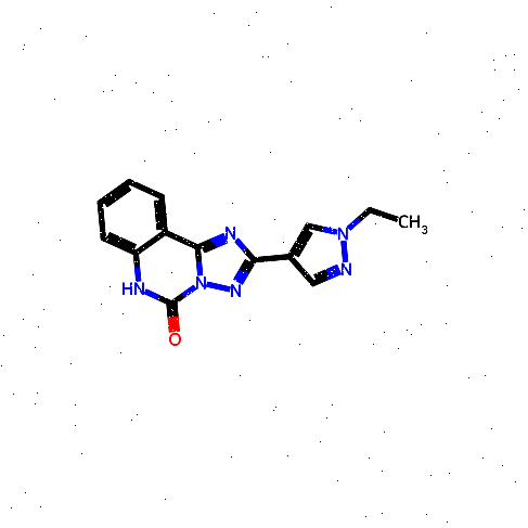 CCn1cc(-c2nc3c4ccccc4[nH]c(=O)n3n2)cn1